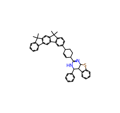 CC1(C)c2ccccc2-c2cc3c(cc21)C(C)(C)c1ccc(C2C=CC(C4=NC5Sc6ccccc6C5C(c5ccccc5)N4)CC2)cc1-3